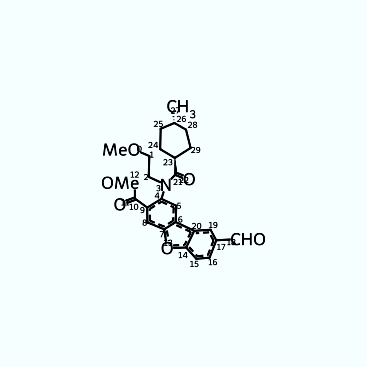 COCCN(c1cc2c(cc1C(=O)OC)oc1ccc(C=O)cc12)C(=O)[C@H]1CC[C@H](C)CC1